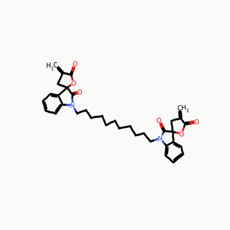 C=C1CC2(OC1=O)C(=O)N(CCCCCCCCCCCN1C(=O)C3(CC(=C)C(=O)O3)c3ccccc31)c1ccccc12